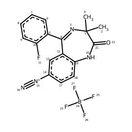 CC1(C)N=C(c2ccccc2F)c2cc([N+]#N)ccc2NC1=O.F[B-](F)(F)F